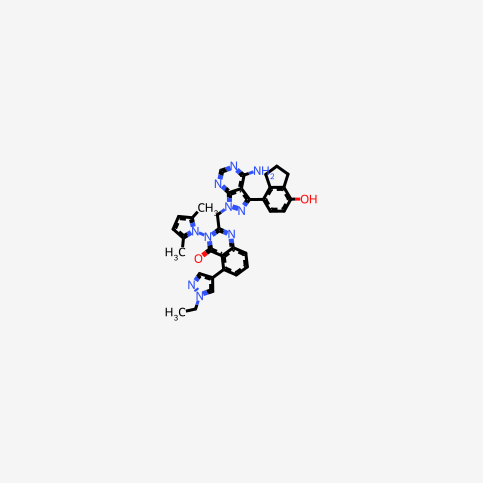 CCn1cc(-c2cccc3nc(Cn4nc(-c5ccc(O)c6c5CCC6)c5c(N)ncnc54)n(-n4c(C)ccc4C)c(=O)c23)cn1